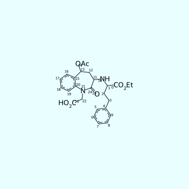 CCOC(=O)C(CCc1ccccc1)NC1CC(OC(C)=O)c2ccccc2N(CC(=O)O)C1=O